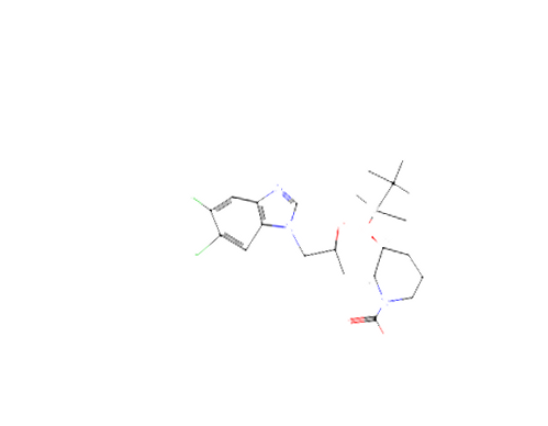 CC(C)(C)[Si](C)(C)O[C@H]1CCCN(C(=O)O)[C@@H]1CC(O)Cn1cnc2cc(Cl)c(Cl)cc21